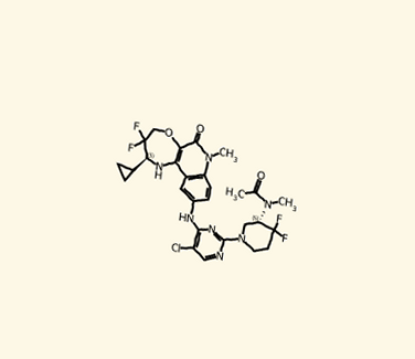 CC(=O)N(C)[C@H]1CN(c2ncc(Cl)c(Nc3ccc4c(c3)c3c(c(=O)n4C)OCC(F)(F)[C@H](C4CC4)N3)n2)CCC1(F)F